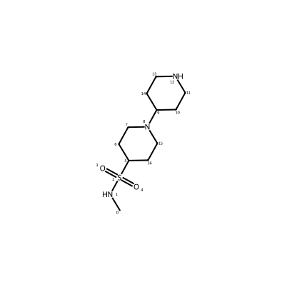 CNS(=O)(=O)C1CCN(C2CCNCC2)CC1